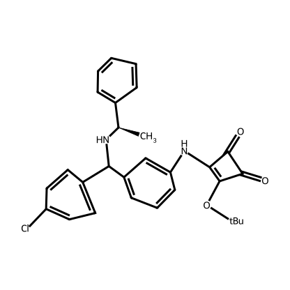 C[C@@H](NC(c1ccc(Cl)cc1)c1cccc(Nc2c(OC(C)(C)C)c(=O)c2=O)c1)c1ccccc1